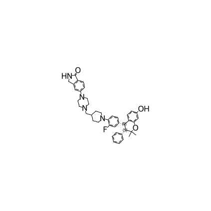 CC1(C)Oc2cc(O)ccc2[C@@H](c2ccc(N3CCC(CN4CCN(c5ccc6c(c5)CNC6=O)CC4)CC3)c(F)c2)[C@H]1c1ccccc1